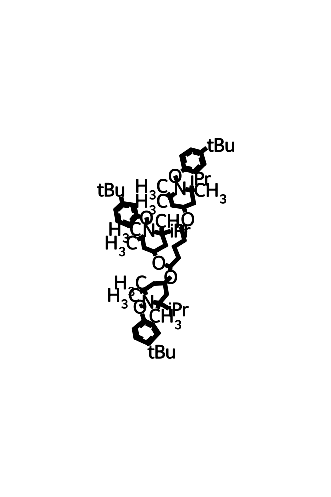 CC(C)C1(C)CC(OCCCCC(OC2CC(C)(C)N(Oc3ccc(C(C)(C)C)cc3)C(C)(C(C)C)C2)OC2CC(C)(C)N(Oc3cccc(C(C)(C)C)c3)C(C)(C(C)C)C2)CC(C)(C)N1Oc1ccc(C(C)(C)C)cc1